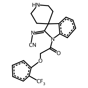 N#C/N=C1\N(C(=O)COc2ccccc2C(F)(F)F)c2ccccc2C12CCNCC2